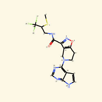 CSC(CNC(=O)c1noc2c1CN(c1ncnc3[nH]ccc13)CC2)C(F)(F)F